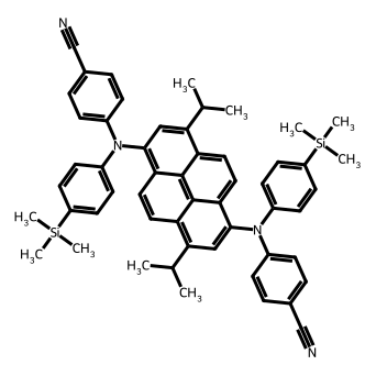 CC(C)c1cc(N(c2ccc(C#N)cc2)c2ccc([Si](C)(C)C)cc2)c2ccc3c(C(C)C)cc(N(c4ccc(C#N)cc4)c4ccc([Si](C)(C)C)cc4)c4ccc1c2c34